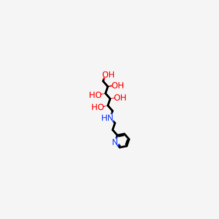 OC[C@@H](O)[C@@H](O)[C@H](O)[C@@H](O)CNCCc1ccccn1